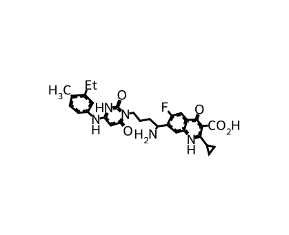 CCc1cc(Nc2cc(=O)n(CCCC(N)c3cc4[nH]c(C5CC5)c(C(=O)O)c(=O)c4cc3F)c(=O)[nH]2)ccc1C